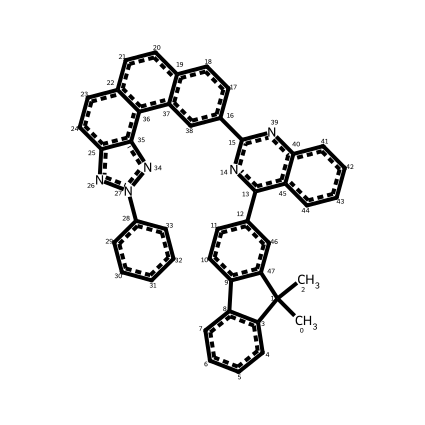 CC1(C)c2ccccc2-c2ccc(-c3nc(-c4ccc5ccc6ccc7nn(-c8ccccc8)nc7c6c5c4)nc4ccccc34)cc21